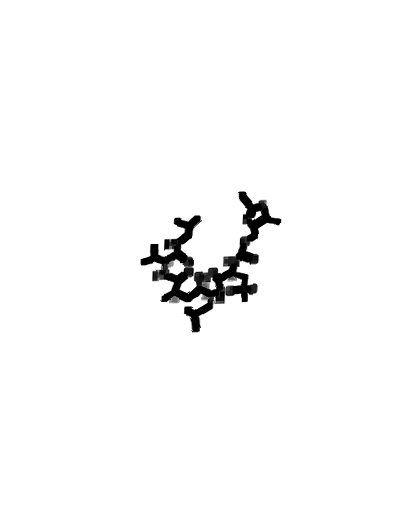 Cc1nc(COC(=O)N[C@@H](CS(C)(=O)=O)C(=O)N[C@H](CC(C)C)[C@@H](O)C[C@@H](C)C(=O)N[C@@H](C(=O)NCC(C)C)C(C)C)c(C)s1